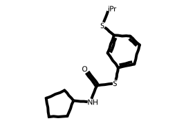 CC(C)Sc1cccc(SC(=O)NC2CCCC2)c1